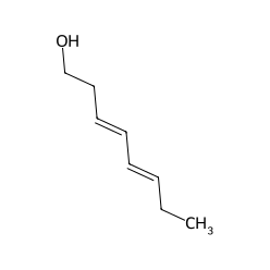 CCC=CC=CCCO